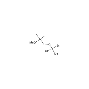 CCC(S)(CC)OSC(C)(C)OC